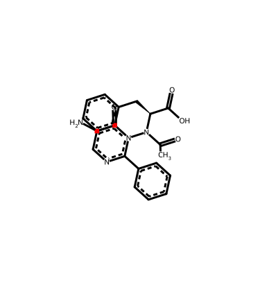 CC(=O)N([C@@H](Cc1ccccc1)C(=O)O)n1c(-c2ccccc2)ncc(N)c1=O